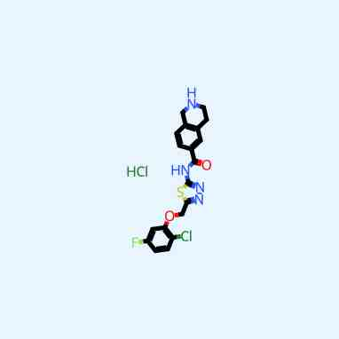 Cl.O=C(Nc1nnc(COc2cc(F)ccc2Cl)s1)c1ccc2c(c1)CCNC2